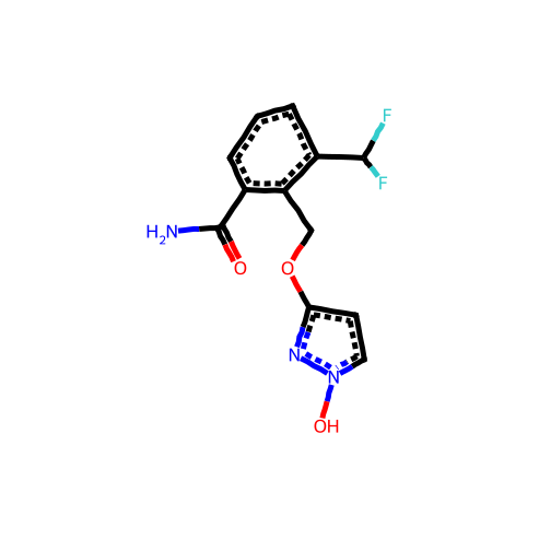 NC(=O)c1cccc(C(F)F)c1COc1ccn(O)n1